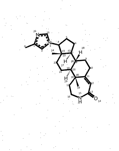 Cc1cn(C2CC[C@H]3[C@@H]4CCC5=CC(=O)NCC[C@]5(C)[C@H]4CC[C@]23C)cn1